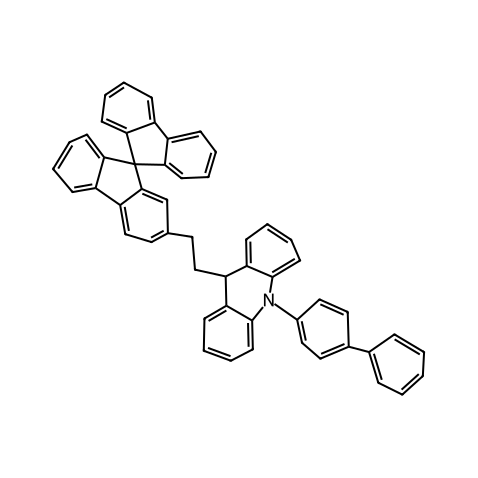 c1ccc(-c2ccc(N3c4ccccc4C(CCc4ccc5c(c4)C4(c6ccccc6-c6ccccc64)c4ccccc4-5)c4ccccc43)cc2)cc1